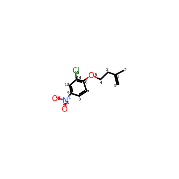 C=C(C)CCOc1ccc([N+](=O)[O-])cc1Cl